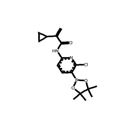 C=C(C(=O)Nc1ccc(B2OC(C)(C)C(C)(C)O2)c(Cl)n1)C1CC1